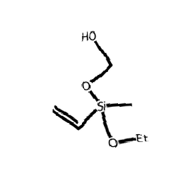 C=C[Si](C)(OCC)OCO